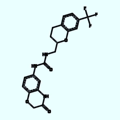 O=C1COc2ccc(NC(=O)NCC3CCc4ccc(C(F)(F)F)cc4O3)cc2N1